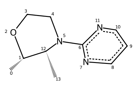 C[C@@H]1OCCN(c2ncccn2)[C@@H]1C